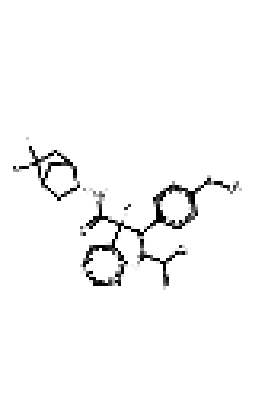 C[C@@](C(=O)N[C@@H]1CC2CC1CC2(F)F)(c1cncnc1)N(C(=O)[C@H](F)Cl)c1ccc(SC(F)(F)F)cc1